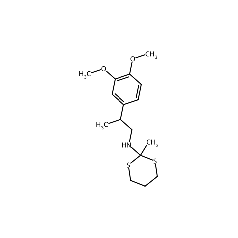 COc1ccc(C(C)CNC2(C)SCCCS2)cc1OC